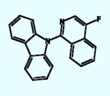 Fc1cnc(-n2c3ccccc3c3ccccc32)c2ccccc12